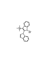 C[Si](C)(C)C1=C(C2C=Cc3ccccc32)[CH]([Zr])c2ccccc21